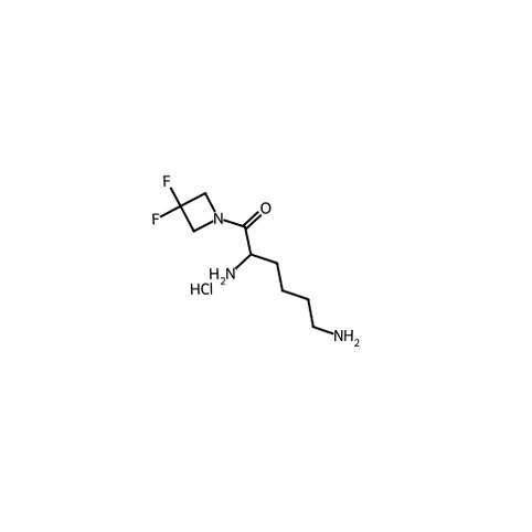 Cl.NCCCCC(N)C(=O)N1CC(F)(F)C1